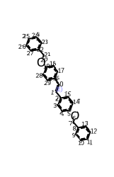 C(=C\c1ccc(OCc2ccccc2)cc1)/c1ccc(OCc2ccccc2)cc1